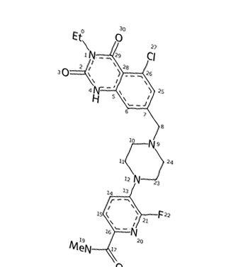 CCn1c(=O)[nH]c2cc(CN3CCN(c4ccc(C(=O)NC)nc4F)CC3)cc(Cl)c2c1=O